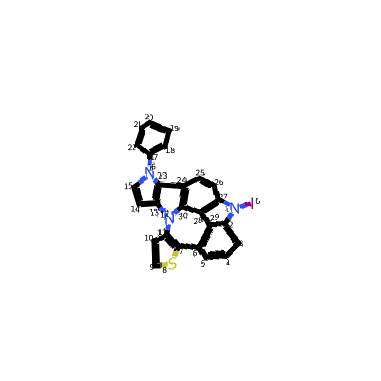 In1c2cccc3c4sccc4n4c5ccn(-c6ccccc6)c5c5ccc1c(c32)c54